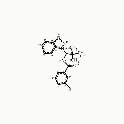 CC(C)(C)C(NC(=O)c1cccc(I)c1)n1nnc2ccccc21